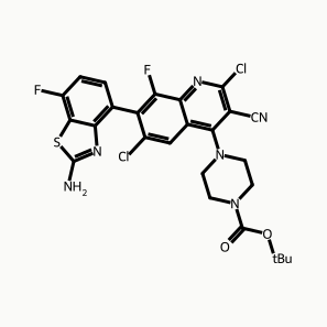 CC(C)(C)OC(=O)N1CCN(c2c(C#N)c(Cl)nc3c(F)c(-c4ccc(F)c5sc(N)nc45)c(Cl)cc23)CC1